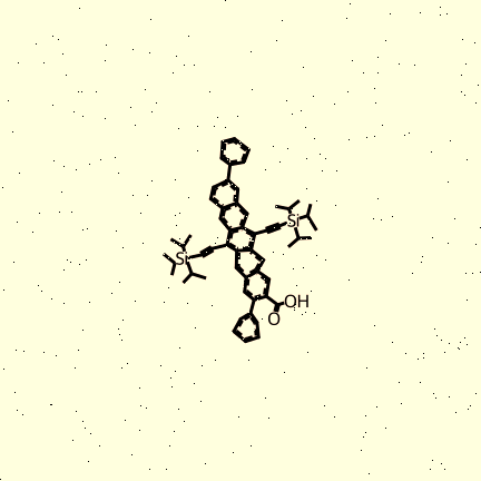 CC(C)[Si](C#Cc1c2cc3cc(-c4ccccc4)ccc3cc2c(C#C[Si](C(C)C)(C(C)C)C(C)C)c2cc3cc(-c4ccccc4)c(C(=O)O)cc3cc12)(C(C)C)C(C)C